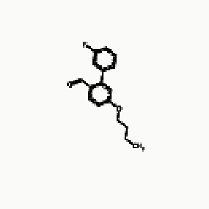 CCCCOc1ccc(C=O)c(-c2cccc(F)c2)c1